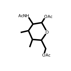 CC(=O)NC1C(OC(C)=O)OC(COC(C)=O)C(C)C1C